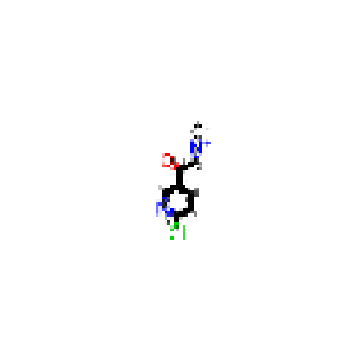 [C-]#[N+]CC(=O)c1ccc(Cl)nc1